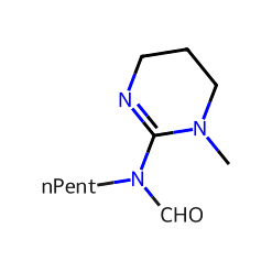 CCCCCN(C=O)C1=NCCCN1C